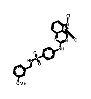 COc1cccc(CNS(=O)(=O)c2ccc(NC3=NCC45CC(=O)CCN(Cl)C4=CC=CC5=N3)cc2)c1